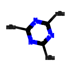 [CH2]CCCc1nc(CCCC)nc(CCCC)n1